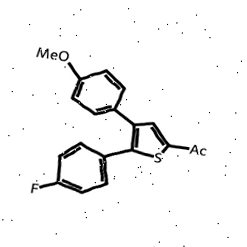 COc1ccc(-c2cc(C(C)=O)sc2-c2ccc(F)cc2)cc1